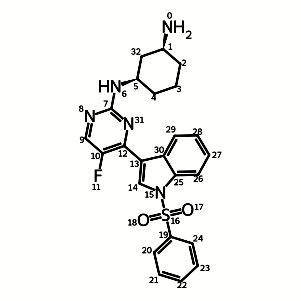 N[C@H]1CCC[C@@H](Nc2ncc(F)c(-c3cn(S(=O)(=O)c4ccccc4)c4ccccc34)n2)C1